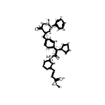 COC(=O)CCC1CCCC(NC(=O)C(c2ccc(CC3CN(c4ccccc4)NCC3=O)cc2)C2CCCC2)C1